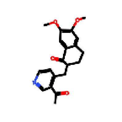 COc1cc2c(cc1OC)C(=O)C(Cc1ccncc1C(C)=O)CC2